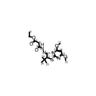 CCOC(=O)CC(=O)NN=CC(Sc1nc(OC)cc(OC)n1)C(C)(C)C